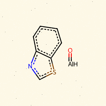 [O]=[AlH].c1ccc2scnc2c1